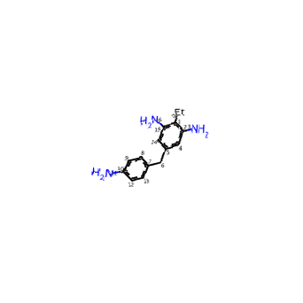 CCc1c(N)cc(Cc2ccc(N)cc2)cc1N